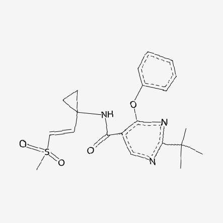 CC(C)(C)c1ncc(C(=O)NC2(C=CS(C)(=O)=O)CC2)c(Oc2ccccc2)n1